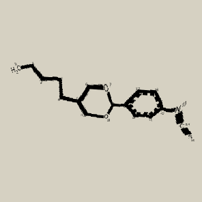 CCCCCC1COC(c2ccc(N=C=S)cc2)OC1